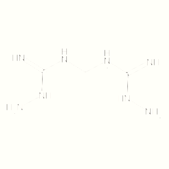 N=C(NN)NCNC(=N)NN